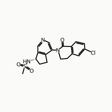 CS(=O)(=O)N[C@H]1CCc2c1cncc2N1CCc2cc(Cl)ccc2C1=O